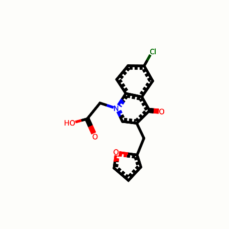 O=C(O)Cn1cc(Cc2ccco2)c(=O)c2cc(Cl)ccc21